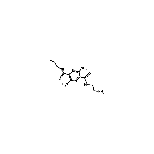 CCCNC(=O)c1nc(N)c(C(=O)NCCN)nc1N